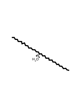 CCCCCCCCCCCCCCCCCC(CCCCCCCCCCCCCCCC)N(C)C.O